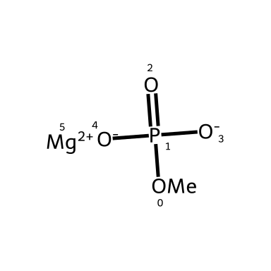 COP(=O)([O-])[O-].[Mg+2]